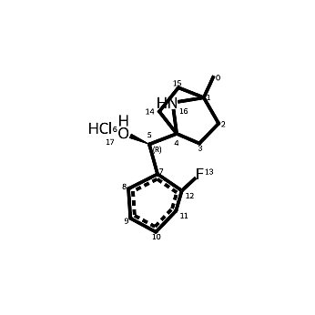 CC12CCC([C@H](O)c3ccccc3F)(CC1)N2.Cl